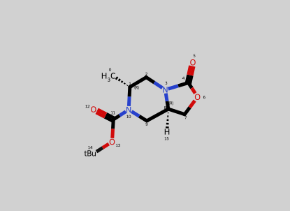 C[C@@H]1CN2C(=O)OC[C@H]2CN1C(=O)OC(C)(C)C